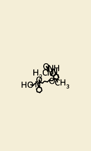 C=c1c(=O)[nH]c2n1Cc1c(ccc(C)c1OCCCCC(=O)N(CCO)C1CCCCC1)N=2